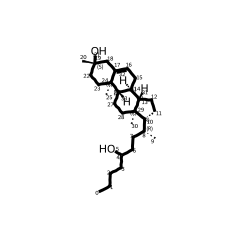 CCCCC(O)CC[C@@H](C)[C@H]1CC[C@H]2[C@@H]3CC=C4C[C@@](C)(O)CC[C@]4(C)[C@H]3CC[C@]12C